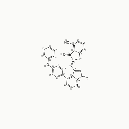 Cn1cc(/C=C2\Oc3cccc(O)c3C2=O)c2c(-c3ccc(Oc4ccccc4)cc3)ccnc21